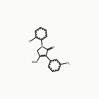 CNC1=C(c2cccc(C(F)(F)F)c2)C(=O)N(c2ccccc2Cl)C1